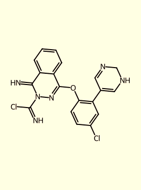 N=C(Cl)n1nc(Oc2ccc(Cl)cc2C2=CNCN=C2)c2ccccc2c1=N